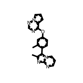 Cc1cc(Oc2ncnn3cccc23)ccc1-c1c(C)nc2ncccn12